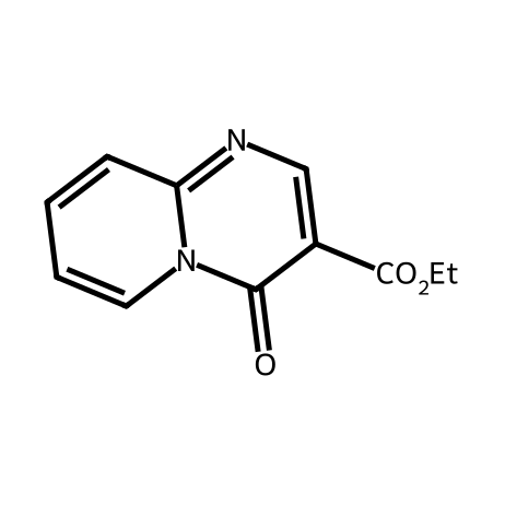 CCOC(=O)c1cnc2ccccn2c1=O